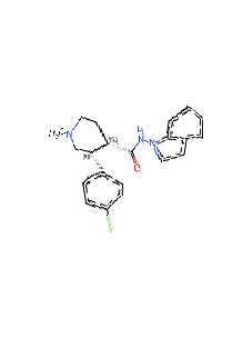 CN1CC[C@H](C(=O)Nn2ccc3ccccc32)[C@H](c2ccc(F)cc2)C1